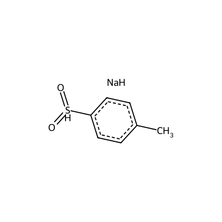 Cc1ccc([SH](=O)=O)cc1.[NaH]